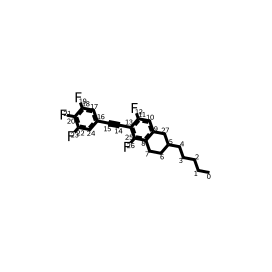 CCCCCC1CCc2c(cc(F)c(C#Cc3cc(F)c(F)c(F)c3)c2F)C1